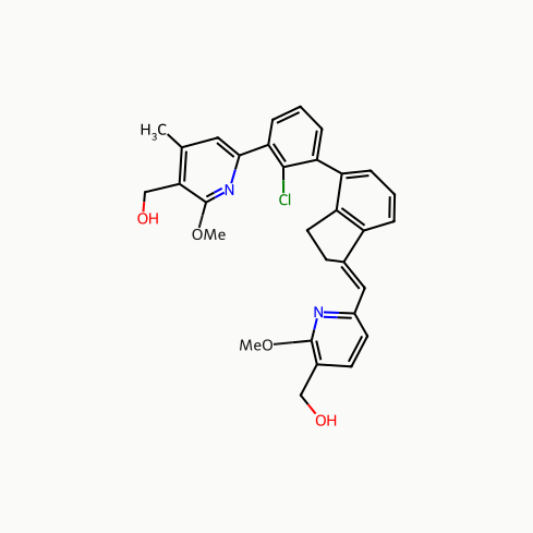 COc1nc(/C=C2\CCc3c2cccc3-c2cccc(-c3cc(C)c(CO)c(OC)n3)c2Cl)ccc1CO